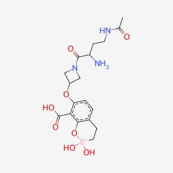 CC(=O)NCCC(N)C(=O)N1CC(Oc2ccc3c(c2C(=O)O)O[B-](O)(O)CC3)C1